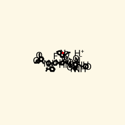 CCOc1nc2c(cc1Oc1cc(N3CCC(N4CCN(Cc5ccc(OC)c6oc(C)cc56)C[C@H]4c4ccccc4C(C)C)CC3)ccc1C(=O)NS(=O)(=O)c1cc([NH+](C)[O-])c(NCC3CCOCC3)c3[nH]cnc13)C(F)=CC2